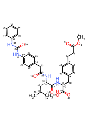 COC(=O)CCc1ccc(C[C@H](NC(=O)[C@H](CC(C)C)NC(=O)Cc2ccc(NC(=O)Nc3ccccc3)cc2)C(=O)O)cc1